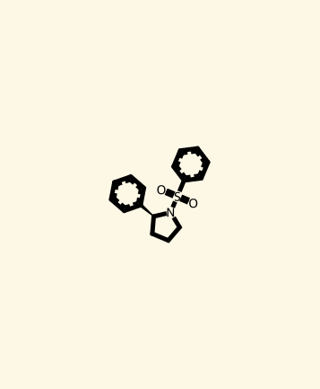 O=S(=O)(c1ccccc1)N1CCC[C@H]1c1ccccc1